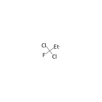 C[CH]C(F)(Cl)Cl